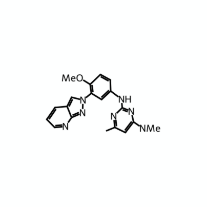 CNc1cc(C)nc(Nc2ccc(OC)c(-n3cc4cccnc4n3)c2)n1